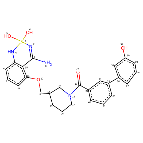 NC1=NS(O)(O)Nc2cccc(OCC3CCCN(C(=O)c4cccc(-c5cccc(O)c5)c4)C3)c21